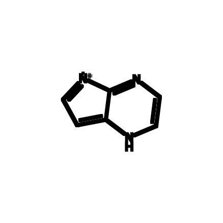 C1=CNC2=CC=[N+]C2=N1